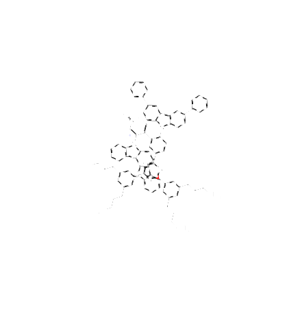 C=N/C=C(\C(=C/C)c1cc(-c2nc(-c3cc(CCCC)cc(CCCC)c3)nc(-c3cc(CCCC)cc(CCCC)c3)n2)ccc1-n1c2ccc(-c3ccccc3)cc2c2cc(-c3ccccc3)ccc21)n1c2ccccc2c2c3oc4ccccc4c3ccc21